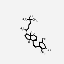 CC1=C(/C=C\C2=CCCC3(C)[C@@H](C(C)CCCC(C)(C)O)CC[C@@H]23)CC(O)C[C@@H]1O